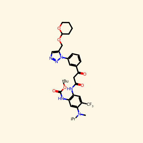 CC(C)N(C)c1cc(NC(=O)OC(C)(C)C)c(NC(=O)CC(=O)c2cccc(-n3nncc3COC3CCCCO3)c2)cc1C(F)(F)F